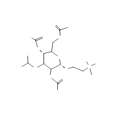 CC(=O)OCC1O[C@@H](OCC[Si](C)(C)C)C(OC(C)=O)C(OC(C)O)[C@H]1OC(C)=O